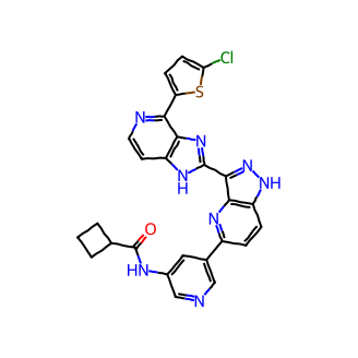 O=C(Nc1cncc(-c2ccc3[nH]nc(-c4nc5c(-c6ccc(Cl)s6)nccc5[nH]4)c3n2)c1)C1CCC1